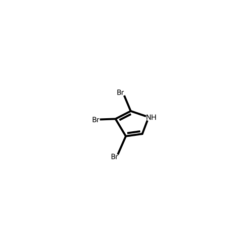 Brc1c[nH]c(Br)c1Br